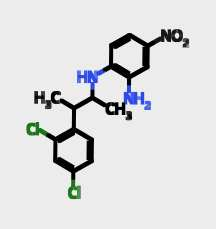 CC(Nc1ccc([N+](=O)[O-])cc1N)C(C)c1ccc(Cl)cc1Cl